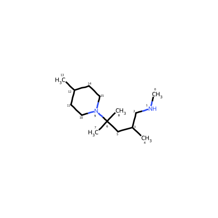 CNCC(C)CC(C)(C)N1CCC(C)CC1